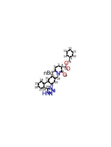 CCCCc1ccc(C(=O)OCc2ccccc2)c(=O)n1Cc1ccc(-c2ccccc2-c2nnn[nH]2)cc1